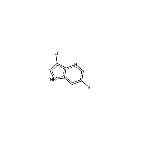 CCc1n[nH]c2cc(Br)cnc12